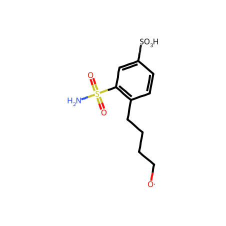 NS(=O)(=O)c1cc(S(=O)(=O)O)ccc1CCCC[O]